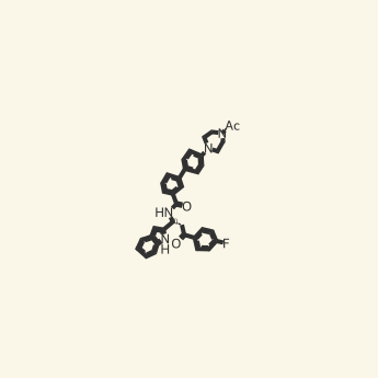 CC(=O)N1CCN(c2ccc(-c3cccc(C(=O)N[C@H](CC(=O)c4ccc(F)cc4)c4cc5ccccc5[nH]4)c3)cc2)CC1